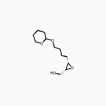 OC[C@H]1O[C@H]1CCCCOC1CCCCO1